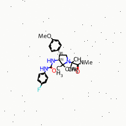 CNC(=O)C(C)(C)N1C[C@@H](c2ccc(OC)cc2)[C@H](NC(=O)Nc2ccc(F)cc2)C1(C)OC